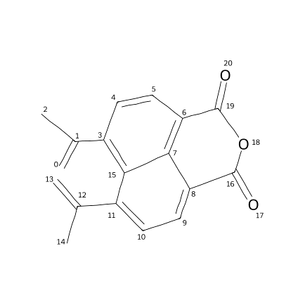 C=C(C)c1ccc2c3c(ccc(C(=C)C)c13)C(=O)OC2=O